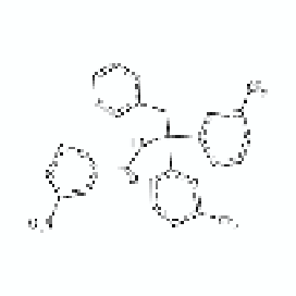 O=C(NC(Cc1ccccc1)(c1cccc(C(F)(F)F)c1)c1cccc(C(F)(F)F)c1)c1cccc([N+](=O)[O-])c1